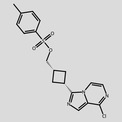 Cc1ccc(S(=O)(=O)OC[C@H]2C[C@@H](c3ncc4c(Cl)nccn43)C2)cc1